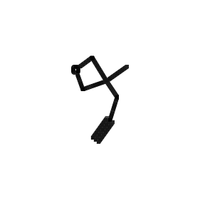 C#CCC1(C)COC1